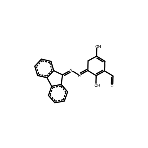 O=CC1=C(O)C(=NN=C2c3ccccc3-c3ccccc32)CC(O)=C1